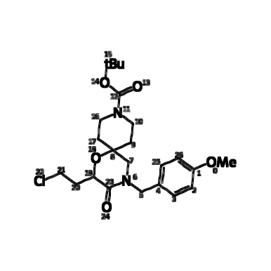 COc1ccc(CN2CC3(CCN(C(=O)OC(C)(C)C)CC3)OC(CCCl)C2=O)cc1